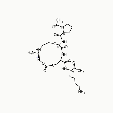 CC(=O)[C@H](CCCCN)NC(=O)C1CCC(=O)O/N=C(/N)NCCC[C@H](NC(=O)[C@@H]2CCCN2C(C)=O)C(=O)N1